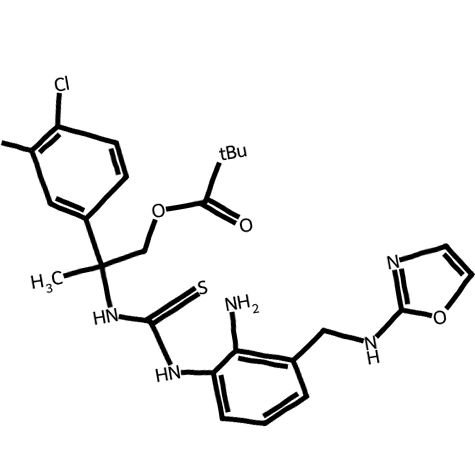 CC(C)(C)C(=O)OCC(C)(NC(=S)Nc1cccc(CNc2ncco2)c1N)c1ccc(Cl)c(F)c1